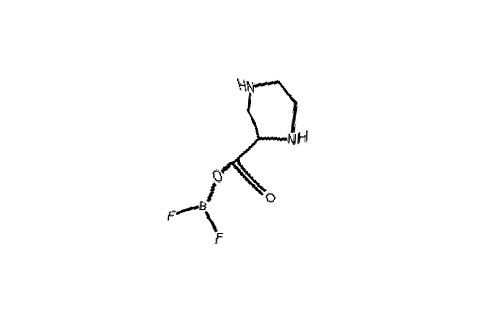 O=C(OB(F)F)C1CNCCN1